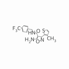 Cc1ccsc1-c1noc(N)c1C(=O)NCc1ccc(C(F)(F)F)cc1